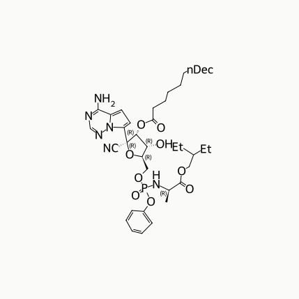 CCCCCCCCCCCCCCCC(=O)O[C@@H]1[C@H](O)[C@@H](COP(=O)(N[C@H](C)C(=O)OCC(CC)CC)Oc2ccccc2)O[C@@]1(C#N)c1ccc2c(N)ncnn12